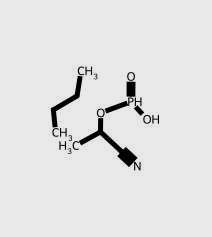 CC(C#N)O[PH](=O)O.CCCC